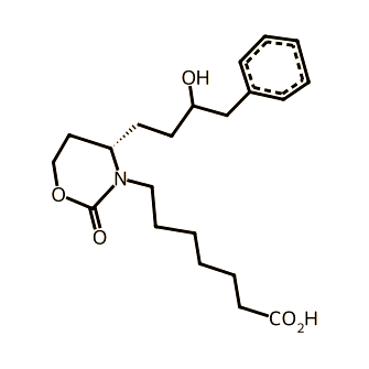 O=C(O)CCCCCCN1C(=O)OCC[C@@H]1CCC(O)Cc1ccccc1